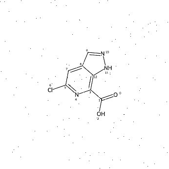 O=C(O)c1nc(Cl)cc2cn[nH]c12